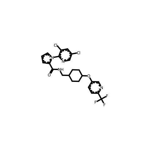 O=C(NCC1CCC(Oc2ccc(C(F)(F)F)nc2)CC1)c1cccn1-c1ncc(Cl)cc1Cl